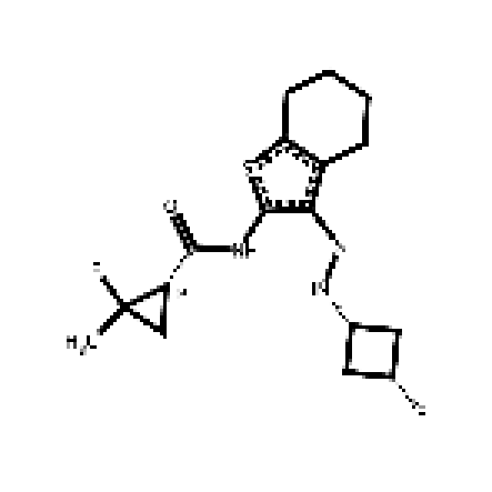 CC1(F)C[C@H]1C(=O)Nc1sc2c(c1SN[C@H]1C[C@@H](F)C1)CCCC2